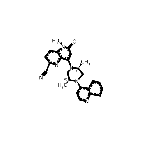 C[C@@H]1CN(c2cc(=O)n(C)c3ccc(C#N)nc23)[C@@H](C)CN1c1ccnc2ccccc12